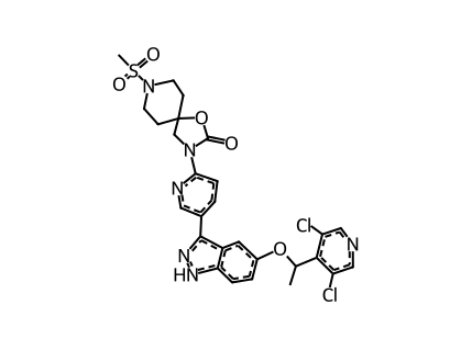 CC(Oc1ccc2[nH]nc(-c3ccc(N4CC5(CCN(S(C)(=O)=O)CC5)OC4=O)nc3)c2c1)c1c(Cl)cncc1Cl